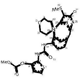 COC(=O)Oc1ccsc1NC(=O)Nc1ccc2cc1[N+]1(CCOCC1)c1nc-2nc(Cl)c1SC